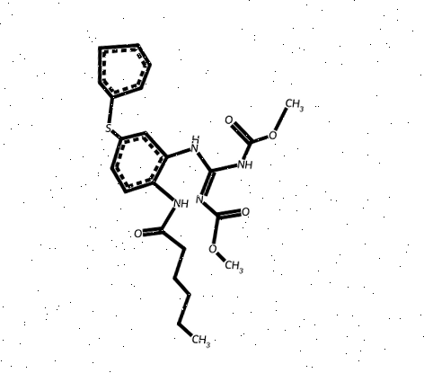 CCCCCC(=O)Nc1ccc(Sc2ccccc2)cc1NC(=NC(=O)OC)NC(=O)OC